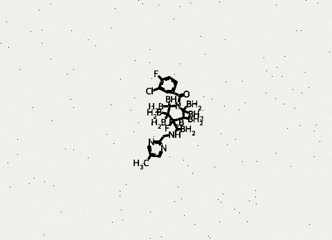 BC(NCc1ncc(C)cn1)C1(F)C(B)(B)C(B)(B)N(C(=O)c2ccc(F)c(Cl)c2)C(B)(B)C1(B)B